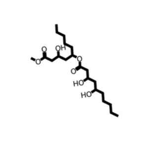 CCCCCC(O)CC(O)CC(=O)OC(CCCCC)CC(O)CC(=O)OC